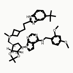 COc1ccc(CNc2ncnc3c2ccn3[C@@H]2C[C@H](CN(C)C3CC(CCc4nc5cc(C(C)(C)C)ccc5[nH]4)C3)[C@H]3OC(C)(C)O[C@H]32)c(OC)c1